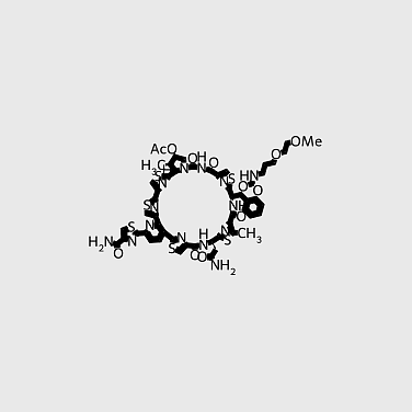 COCCOCCCNC(=O)O[C@H](c1ccccc1)[C@@H]1NC(=O)c2nc(sc2C)[C@H](CC(N)=O)NC(=O)c2csc(n2)-c2ccc(-c3nc(C(N)=O)cs3)nc2-c2csc(n2)-c2csc(n2)[C@@H]2[C@@H](C)[C@@H](OC(C)=O)CN2C(=O)NC(=O)c2csc1n2